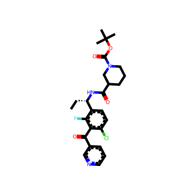 CC[C@H](NC(=O)C1CCCN(C(=O)OC(C)(C)C)C1)c1ccc(Cl)c(C(=O)c2cccnc2)c1F